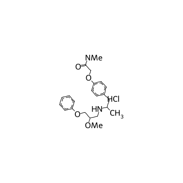 CNC(=O)COc1ccc(CC(C)NCC(COc2ccccc2)OC)cc1.Cl